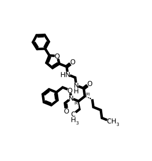 CCCCC[C@@H](C(=O)NCNC(=O)c1ccc(-c2ccccc2)o1)[C@@H](CC)N(C=O)OCc1ccccc1